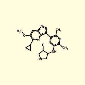 COc1cc2ncc(-c3nc(NC4CNCC4F)c(C)cc3C)n2nc1C1CC1